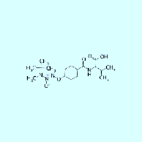 CC(C)C(NC(=O)C1CCC(O/N=[N+](\[O-])N(C)C(C)(C)C)CC1)C(=O)O